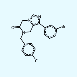 O=C1Cn2cnc(-c3cccc(Br)c3)c2CN1Cc1ccc(Cl)cc1